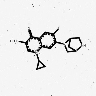 O=C(O)c1cn(C2CC2)c2cc(N3CC4CC3CN4)c(F)cc2c1=O